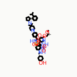 CO[C@H](C)COc1nc2[nH]cc(F)c2cc1Oc1cc(N2CCC3(CC2)CN(C2CCC[C@@H]2c2ccccc2C(C)C)C3)ccc1C(=O)NS(=O)(=O)c1ccc(NC[C@H]2CC[C@](C)(O)CC2)c([N+](=O)[O-])c1